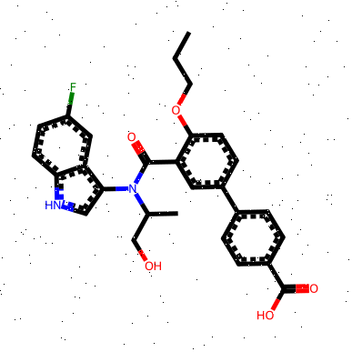 CCCOc1ccc(-c2ccc(C(=O)O)cc2)cc1C(=O)N(c1c[nH]c2ccc(F)cc12)C(C)CO